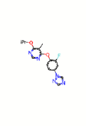 Cc1c(Oc2ccc(-n3cncn3)cc2F)ncnc1OC(C)C